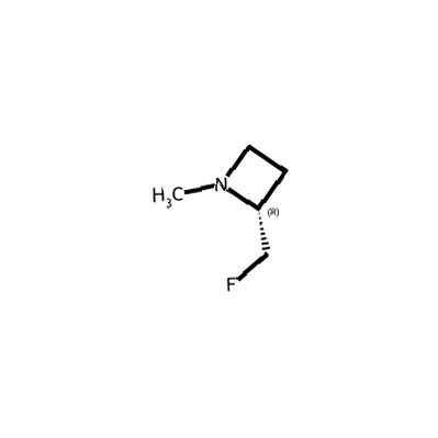 CN1CC[C@@H]1CF